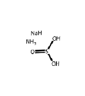 N.O=S(O)O.[NaH]